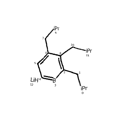 CC(C)Cc1bccc(CC(C)C)c1CC(C)C.[LiH]